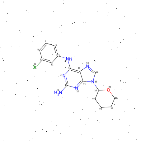 Nc1nc(Nc2cccc(Br)c2)c2ncn(C3CCCCO3)c2n1